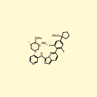 CO[C@H]1[C@H](N)C[C@H](c2ccncc2Nc2ncc3ccc(-c4c(F)cc(C5(OC)CCCC5)cc4F)nn23)C[C@@H]1C